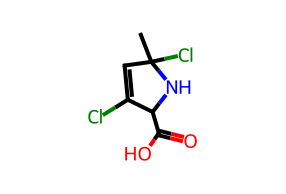 CC1(Cl)C=C(Cl)C(C(=O)O)N1